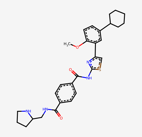 COc1ccc(C2CCCCC2)cc1-c1csc(NC(=O)c2ccc(C(=O)NCC3CCCN3)cc2)n1